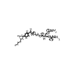 CCCCCCC(CCC)c1ccc(/C(C)=N/OCCOC(=O)NC(COC(N)=O)COC(N)=O)cc1